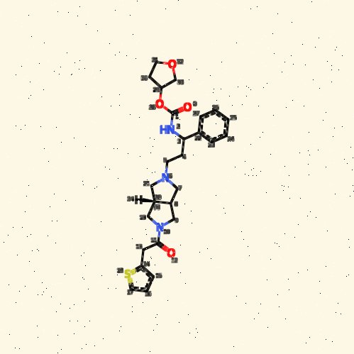 O=C(NC(CCN1CC2CN(C(=O)Cc3cccs3)C[C@@H]2C1)c1ccccc1)OC1CCOC1